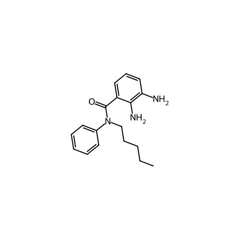 CCCCCN(C(=O)c1cccc(N)c1N)c1ccccc1